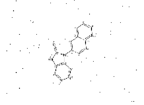 O=c1[nH]c2cnccc2n1-c1ccc2ncccc2c1